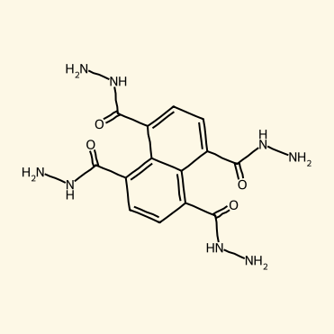 NNC(=O)c1ccc(C(=O)NN)c2c(C(=O)NN)ccc(C(=O)NN)c12